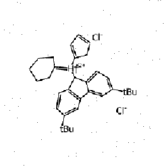 CC(C)(C)c1ccc2c(c1)-c1cc(C(C)(C)C)ccc1[CH]2[Hf+2]([C]1=CC=CC1)=[C]1CCCCC1.[Cl-].[Cl-]